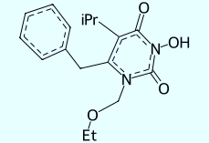 CCOCn1c(Cc2ccccc2)c(C(C)C)c(=O)n(O)c1=O